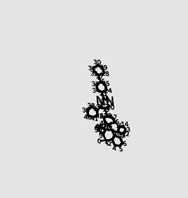 CC1(C)c2ccccc2C2(c3ccccc3-c3cc(-c4cnc(-c5ccc(-c6ccccc6)cc5)nc4-c4ccccc4)ccc32)c2ccccc21